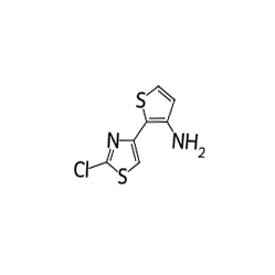 Nc1ccsc1-c1csc(Cl)n1